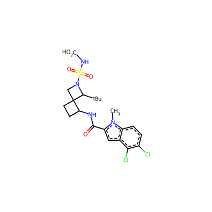 Cn1c(C(=O)NC2CCC23CN(S(=O)(=O)NC(=O)O)C3C(C)(C)C)cc2c(Cl)c(Cl)ccc21